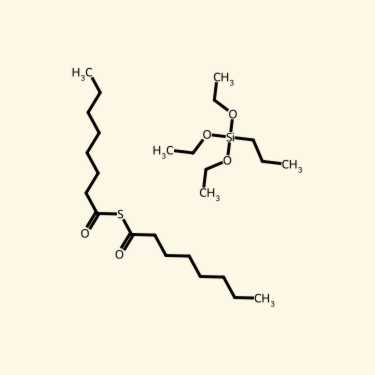 CCCCCCCC(=O)SC(=O)CCCCCCC.CCC[Si](OCC)(OCC)OCC